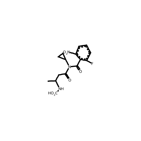 CC(CC(=O)N(C(=O)c1c(F)cccc1[N+](=O)[O-])C1CC1)NC(=O)O